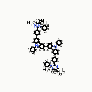 CC1(C)N=C(c2ccc(-c3ccc4c(c3)c3cc(-c5ccc6c(c5)c5cc(-c7ccc(C8=NC(C)(C)C(C)(C)N8c8ccccc8)cc7)ccc5n6-c5ccccc5)ccc3n4-c3ccccc3)cc2)N(c2ccccc2)C1(C)C